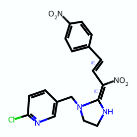 O=[N+]([O-])C(/C=C/c1ccc([N+](=O)[O-])cc1)=C1\NCCN1Cc1ccc(Cl)nc1